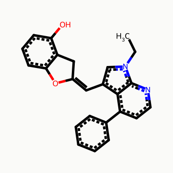 CCn1cc(C=C2Cc3c(O)cccc3O2)c2c(-c3ccccc3)ccnc21